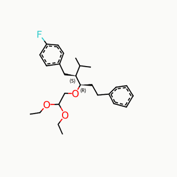 CCOC(CO[C@H](CCc1ccccc1)[C@@H](Cc1ccc(F)cc1)C(C)C)OCC